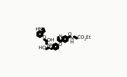 CCOC(=O)CCNC(=O)c1ccc2c(Oc3ccc(C[C@@H](CO)NC[C@H](O)COc4cccc5[nH]ccc45)cc3)ccnc2c1